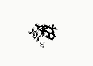 CC(CC1=[C]2CC=C1C(C)(C)C1=CC[C](=C1CC(C)O[Si](C)(C)C)[Zr+2]2)O[Si](C)(C)C.[Cl-].[Cl-]